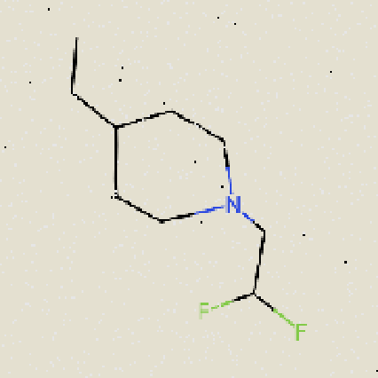 CCC1CCN(CC(F)F)CC1